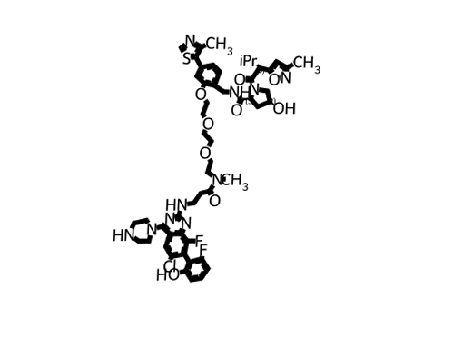 Cc1cc([C@@H](C(=O)N2C[C@H](O)C[C@H]2C(=O)NCc2ccc(-c3scnc3C)cc2OCCOCCOCCN(C)C(=O)CCNc2nc(N3CCNCC3)c3cc(Cl)c(-c4c(O)cccc4F)c(F)c3n2)C(C)C)on1